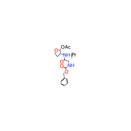 CC(=O)OC1OCC[C@@H]1NC(=O)[C@H](CC(C)C)NC(=O)OCc1ccccc1